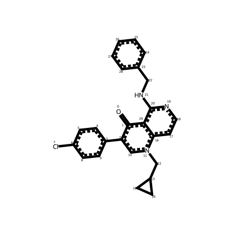 O=c1c(-c2ccc(Cl)cc2)cn(CC2CC2)c2ccnc(NCc3ccccc3)c12